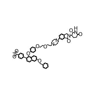 CS(=O)(=O)c1ccc(-c2ccc3cc(OCc4ccccc4)ccc3c2Oc2ccc(OCCOCCN3CCN(c4ccc5c(c4)C(=O)N(C4CCC(=O)NC4=O)C5)CC3)cc2)cc1